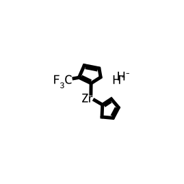 FC(F)(F)C1=[C]([Zr][C]2=CC=CC2)CC=C1.[H-].[H-]